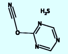 N#COc1ncncn1.S